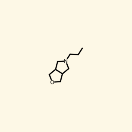 CCCN1CC2COCC2C1